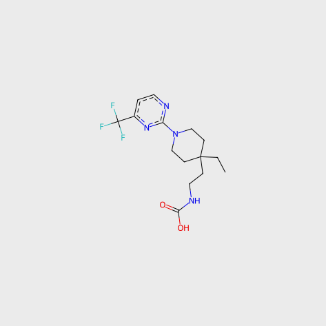 CCC1(CCNC(=O)O)CCN(c2nccc(C(F)(F)F)n2)CC1